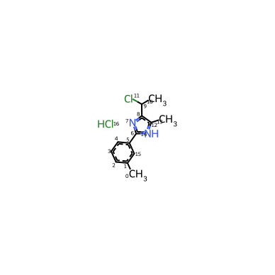 Cc1cccc(-c2nc(C(C)Cl)c(C)[nH]2)c1.Cl